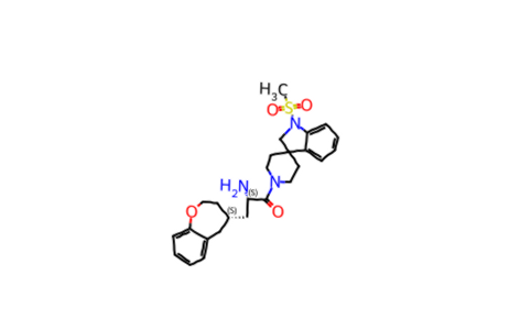 CS(=O)(=O)N1CC2(CCN(C(=O)[C@@H](N)C[C@H]3CCOc4ccccc4C3)CC2)c2ccccc21